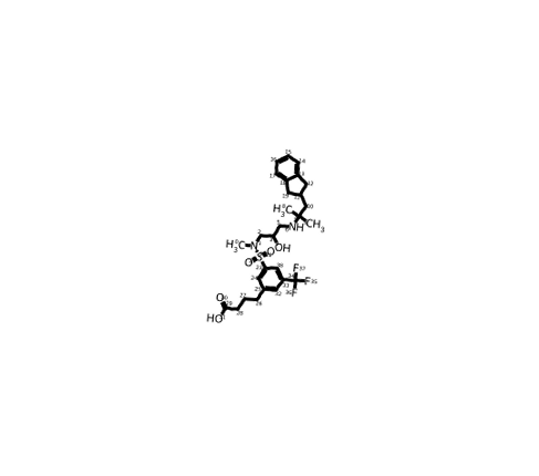 CN(CC(O)CNC(C)(C)CC1Cc2ccccc2C1)S(=O)(=O)c1cc(CCCC(=O)O)cc(C(F)(F)F)c1